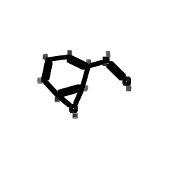 O=Pc1cccc2c1O2